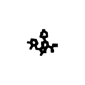 Cc1cccc(Cc2c(C)nc3c(C(=O)O)cc(N4CCOCC4)nn23)c1C